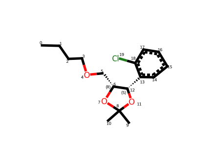 CCCCOC[C@H]1OC(C)(C)O[C@H]1c1ccccc1Cl